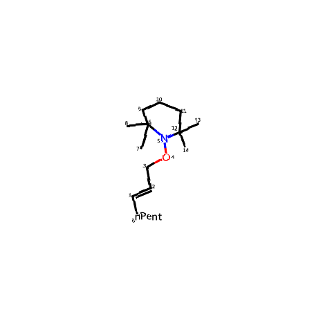 CCCCCC=CCON1C(C)(C)CCCC1(C)C